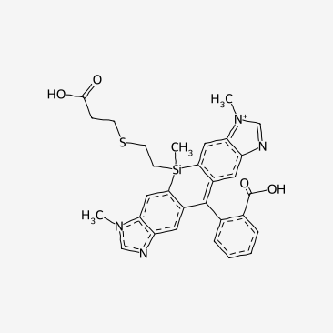 Cn1cnc2cc3c(cc21)[Si](C)(CCSCCC(=O)O)c1cc2c(cc1=C3c1ccccc1C(=O)O)N=C[N+]=2C